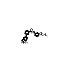 COc1cccc(CNC(=O)c2cccc(-c3ccc4[nH]ncc4c3)c2)c1